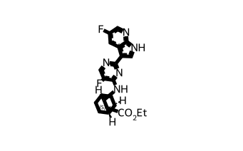 CCOC(=O)[C@@H]1C(Nc2nc(-c3c[nH]c4ncc(F)cc34)ncc2F)[C@H]2CC[C@@H]1CC2